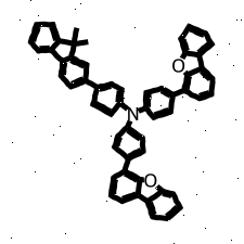 CC1(C)c2ccccc2-c2ccc(-c3ccc(N(c4ccc(-c5cccc6c5oc5ccccc56)cc4)c4ccc(-c5cccc6c5oc5ccccc56)cc4)cc3)cc21